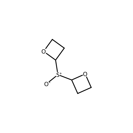 [O-][S+](C1CCO1)C1CCO1